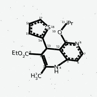 CCOC(=O)C1=C(C)Nc2ccnc(OC(C)C)c2C1c1cccs1